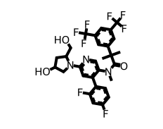 CN(C(=O)C(C)(C)c1cc(C(F)(F)F)cc(C(F)(F)F)c1)c1cnc(N2CC(O)CC2CO)cc1-c1ccc(F)cc1F